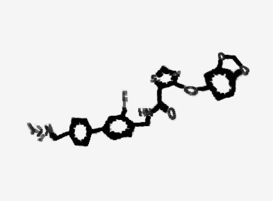 NCc1ccc(-c2ccc(CNC(=O)c3scnc3Oc3ccc4c(c3)OCO4)c(F)c2)cc1